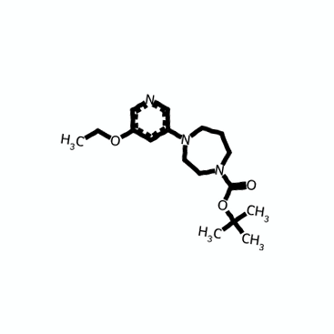 CCOc1cncc(N2CCCN(C(=O)OC(C)(C)C)CC2)c1